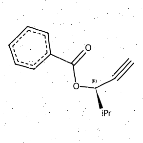 C#C[C@H](OC(=O)c1ccccc1)C(C)C